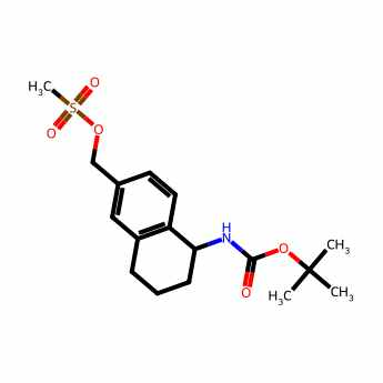 CC(C)(C)OC(=O)NC1CCCc2cc(COS(C)(=O)=O)ccc21